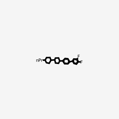 CCCC1CCC(C2CCC(c3ccc(-c4ccc(F)c(F)c4)cc3)CC2)CC1